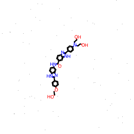 O=C(Nc1ccc2[nH]c(-c3ccc(OCCO)cc3)nc2c1)c1ccc2nc(-c3ccc(N(CCO)CCO)cc3)[nH]c2c1